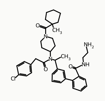 CC(c1cccc(-c2ccccc2C(=O)NCCN)c1)N(C(=O)Cc1ccc(Cl)cc1)C1CCN(C(=O)C2(C)CCCCC2)CC1